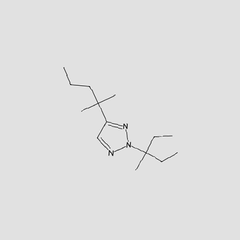 CCCC(C)(C)c1cnn(C(C)(CC)CC)n1